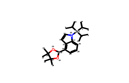 CC(C)[Si](C(C)C)(C(C)C)n1ccc2c(B3OC(C)(C)C(C)(C)O3)cccc21